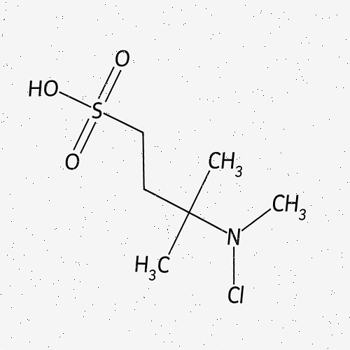 CN(Cl)C(C)(C)CCS(=O)(=O)O